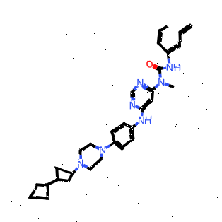 C=C/C=C(\C=C/C)NC(=O)N(C)c1cc(Nc2ccc(N3CCN(C4CC(C5CCC5)C4)CC3)cc2)ncn1